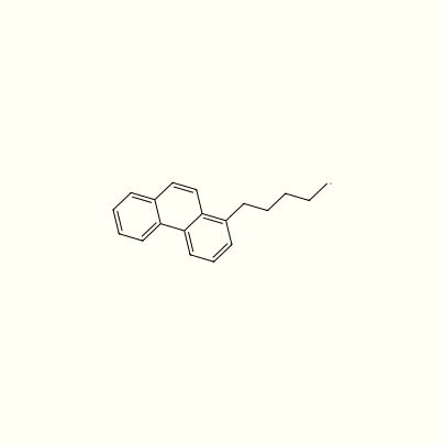 [CH2]CCCCc1cccc2c1ccc1ccccc12